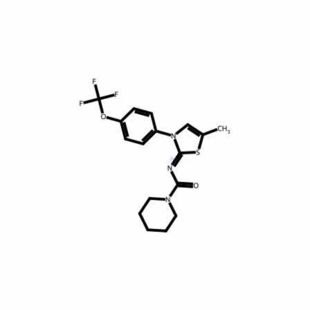 Cc1cn(-c2ccc(OC(F)(F)F)cc2)/c(=N/C(=O)N2CCCCC2)s1